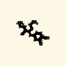 CCOC(=O)[C@H](Cc1ccc(O)c(Cl)c1)OCC